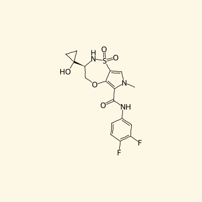 Cn1cc2c(c1C(=O)Nc1ccc(F)c(F)c1)OC[C@@H](C1(O)CC1)NS2(=O)=O